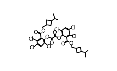 CC(C)C1CC(COC(=O)c2c(Cl)c(Cl)cc(Cl)c2OC(=O)C(=O)Oc2c(Cl)cc(Cl)c(Cl)c2C(=O)OCC2CC(C(C)C)C2)C1